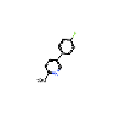 CC(C)(C)c1ccc(-c2ccc(F)cc2)cn1